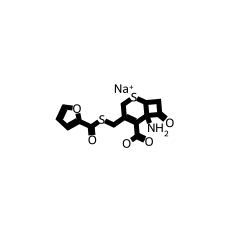 NC12C(=O)CC1SCC(CSC(=O)c1ccco1)=C2C(=O)[O-].[Na+]